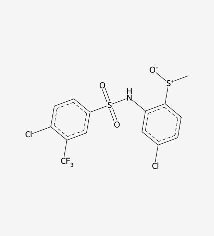 C[S+]([O-])c1ccc(Cl)cc1NS(=O)(=O)c1ccc(Cl)c(C(F)(F)F)c1